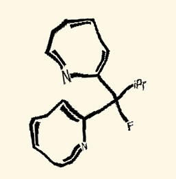 CC(C)C(F)(c1ccccn1)c1ccccn1